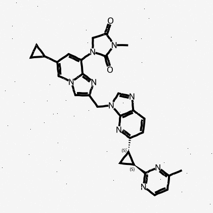 Cc1ccnc([C@H]2C[C@@H]2c2ccc3ncn(Cc4cn5cc(C6CC6)cc(N6CC(=O)N(C)C6=O)c5n4)c3n2)n1